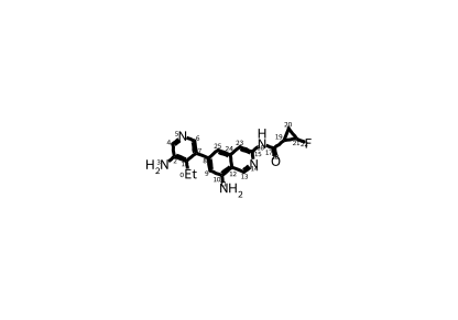 CCc1c(N)cncc1-c1cc(N)c2cnc(NC(=O)C3CC3F)cc2c1